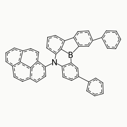 c1ccc(-c2ccc3c(c2)B2c4cc(-c5ccccc5)ccc4N(c4ccc5ccc6cccc7ccc4c5c67)c4cccc-3c42)cc1